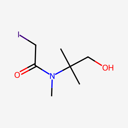 CN(C(=O)CI)C(C)(C)CO